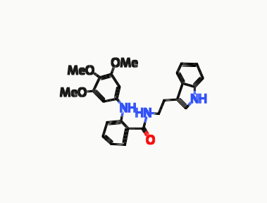 COc1cc(Nc2ccccc2C(=O)NCCc2c[nH]c3ccccc23)cc(OC)c1OC